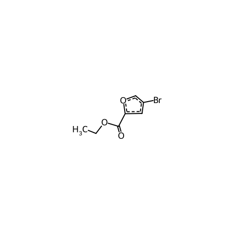 CCOC(=O)c1cc(Br)co1